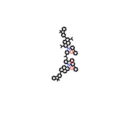 CC(C)c1cc(-c2ccc3c(c2)-c2ccccc2C3(C)C)c2ccc3c(C(C)C)cc(N(c4ccc(C(C)Cc5cccc(N(c6ccc7ccc8c(-c9ccc%10c(c9)-c9ccccc9C%10(C)C)ccc9ccc6c7c98)c6cccc7c6oc6ccccc67)c5-c5ccccc5)cc4)c4cccc5c4oc4ccccc45)c4ccc1c2c34